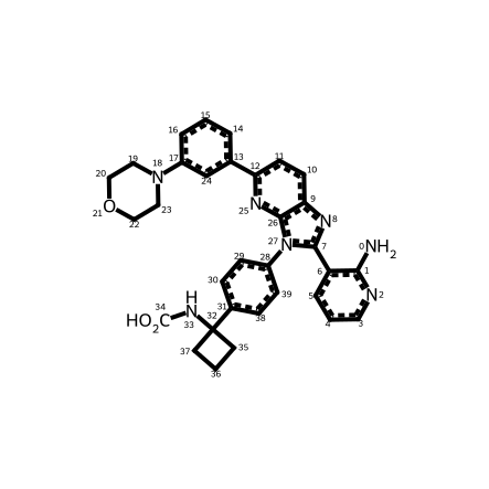 Nc1ncccc1-c1nc2ccc(-c3cccc(N4CCOCC4)c3)nc2n1-c1ccc(C2(NC(=O)O)CCC2)cc1